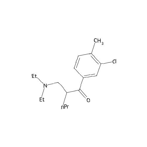 CCCC(CN(CC)CC)C(=O)c1ccc(C)c(Cl)c1